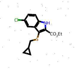 CCOC(=O)c1[nH]c2ccc(Cl)cc2c1SCC1CC1